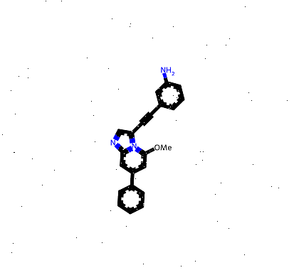 COc1cc(-c2ccccc2)cc2ncc(C#Cc3cccc(N)c3)n12